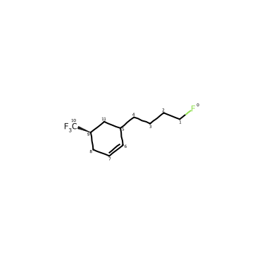 FCCCCC1C=CC[C@@H](C(F)(F)F)C1